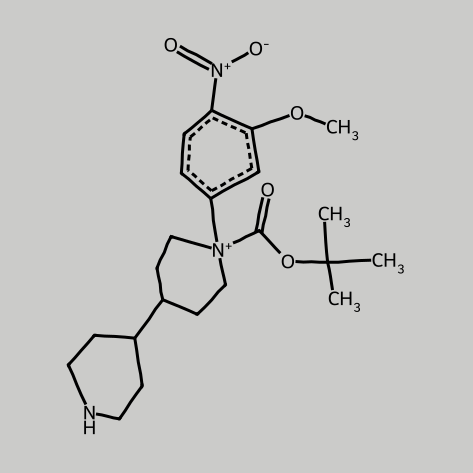 COc1cc([N+]2(C(=O)OC(C)(C)C)CCC(C3CCNCC3)CC2)ccc1[N+](=O)[O-]